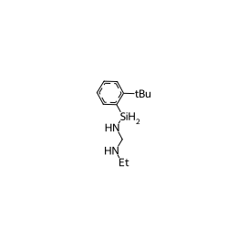 CCNCN[SiH2]c1ccccc1C(C)(C)C